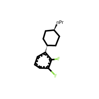 CCC[C@H]1CC[C@H](c2cccc(F)c2F)CC1